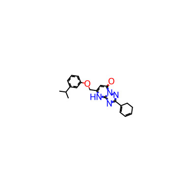 CC(C)c1cccc(OCc2cc(=O)n3nc(C4=CC=CCC4)nc3[nH]2)c1